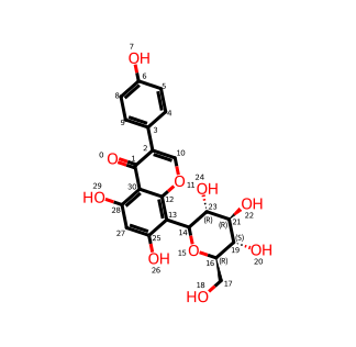 O=c1c(-c2ccc(O)cc2)coc2c(C3O[C@H](CO)[C@@H](O)[C@H](O)[C@H]3O)c(O)cc(O)c12